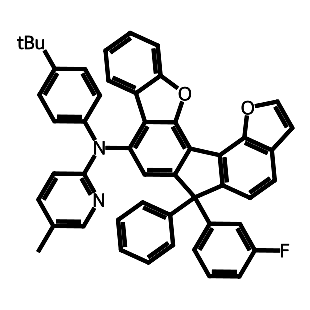 Cc1ccc(N(c2ccc(C(C)(C)C)cc2)c2cc3c(c4oc5ccccc5c24)-c2c(ccc4ccoc24)C3(c2ccccc2)c2cccc(F)c2)nc1